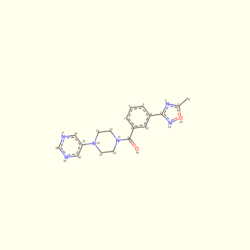 Cc1nc(-c2cccc(C(=O)N3CCN(c4cncnc4)CC3)c2)no1